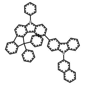 c1ccc(-n2c3ccc(-c4ccc5c(c4)c4ccccc4n5-c4ccc5ccccc5c4)cc3c3c4c(ccc32)-c2ccccc2C4(c2ccccc2)c2ccccc2)cc1